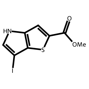 COC(=O)c1cc2[nH]cc(I)c2s1